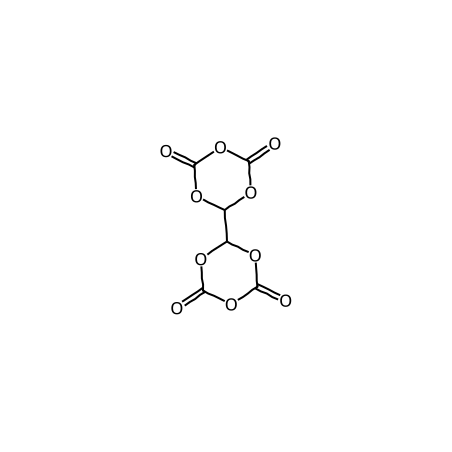 O=C1OC(=O)OC(C2OC(=O)OC(=O)O2)O1